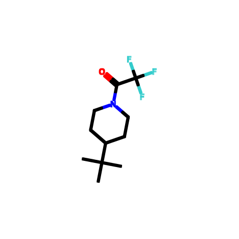 CC(C)(C)C1CCN(C(=O)C(F)(F)F)CC1